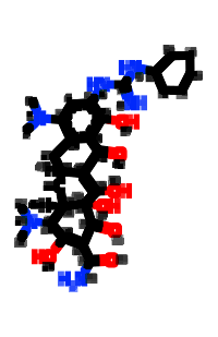 CN(C)c1cc(NC(=N)NC2CCCCC2)c(O)c2c1C[C@H]1C[C@H]3[C@H](N(C)C)C(O)=C(C(N)=O)C(=O)[C@@]3(O)C(O)=C1C2=O